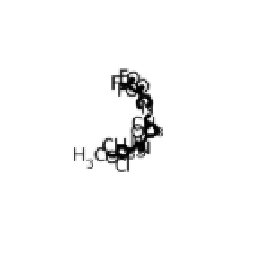 COc1c(CCN2CCC(C(=O)OC(=O)C(F)(F)F)CC2)cccc1-c1nsc(-c2ccc(OC(C)C)c(Cl)c2)n1